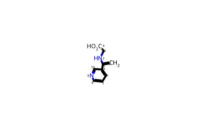 C=C(NCC(=O)O)c1cccnc1